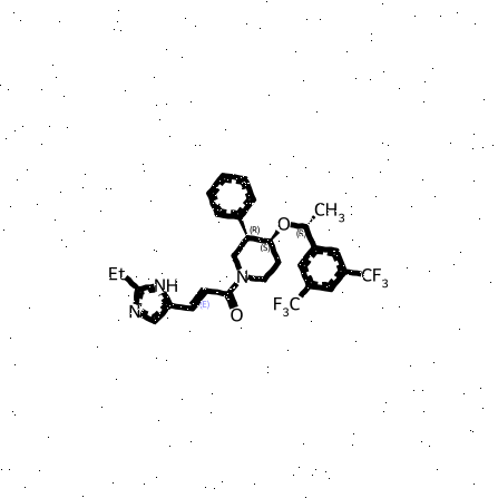 CCc1ncc(/C=C/C(=O)N2CC[C@H](O[C@H](C)c3cc(C(F)(F)F)cc(C(F)(F)F)c3)[C@H](c3ccccc3)C2)[nH]1